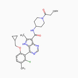 COCC(=O)N1CCC(NC(=O)c2c(C)[nH]c3c(-c4c(OCC5CC5)ccc(C)c4F)ncnc23)CC1